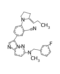 CC/C=C1\CCCN1c1ccc(-c2cnc3ccc(N(C)Cc4cccc(F)c4)nn23)cc1C#N